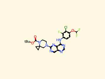 CC(C)(C)OC(=O)N1CCN(c2ncc3ncnc(Nc4ccc(OC(F)F)c(Cl)c4F)c3n2)CC12CC2